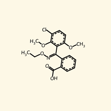 CCON=C(c1ccccc1C(=O)O)c1c(OC)ccc(Cl)c1OC